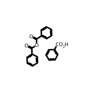 O=C(O)c1ccccc1.O=C(OC(=O)c1ccccc1)c1ccccc1